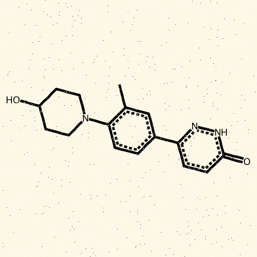 Cc1cc(-c2ccc(=O)[nH]n2)ccc1N1CCC(O)CC1